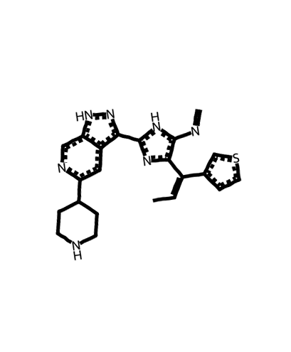 C=Nc1[nH]c(-c2n[nH]c3cnc(C4CCNCC4)cc23)nc1/C(=C\C)c1ccsc1